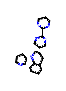 c1ccc2ncccc2c1.c1ccncc1.c1cnc(-c2ncccn2)nc1